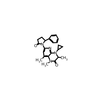 Cc1cc(N2C(=O)CCC2c2ccccc2)nc2c1N(C)C(=O)C(C)N2C1CC1